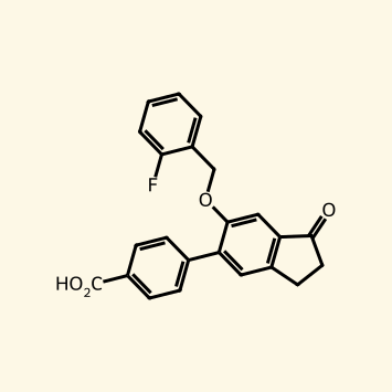 O=C(O)c1ccc(-c2cc3c(cc2OCc2ccccc2F)C(=O)CC3)cc1